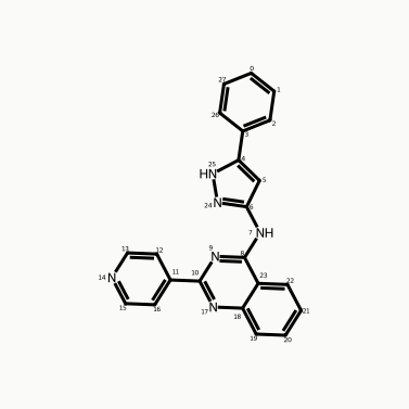 c1ccc(-c2cc(Nc3nc(-c4ccncc4)nc4ccccc34)n[nH]2)cc1